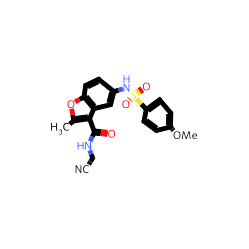 COc1ccc(S(=O)(=O)Nc2ccc3oc(C)c(C(=O)NCC#N)c3c2)cc1